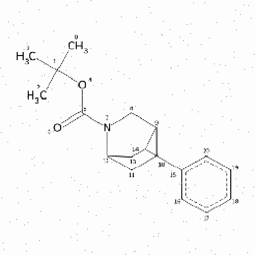 CC(C)(C)OC(=O)N1CC2CCC1CC2c1ccccc1